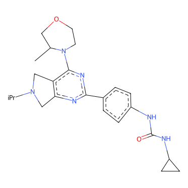 CC(C)N1Cc2nc(-c3ccc(NC(=O)NC4CC4)cc3)nc(N3CCOCC3C)c2C1